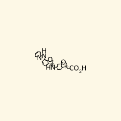 O=C(O)C[C@@H]1COc2cc(N[C@@H]3COc4c(Nc5ccccn5)cccc43)ccc21